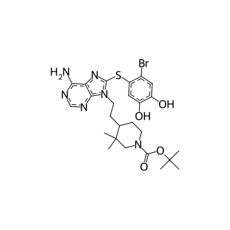 CC(C)(C)OC(=O)N1CCC(CCn2c(Sc3cc(O)c(O)cc3Br)nc3c(N)ncnc32)C(C)(C)C1